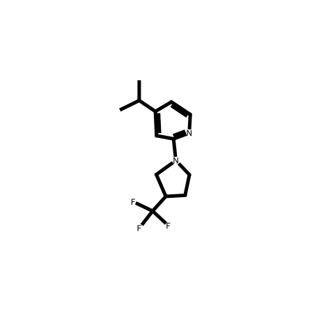 CC(C)c1ccnc(N2CCC(C(F)(F)F)C2)c1